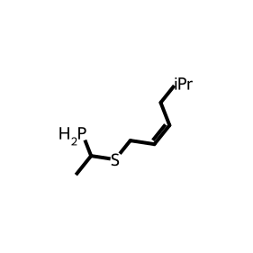 CC(C)C/C=C\CSC(C)P